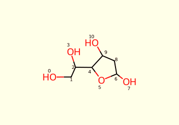 OCC(O)C1OC(O)CC1O